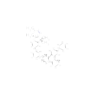 C=C/C=C\C1=C(C)c2ccc(-c3cccc(-c4ncc(-c5cccnc5)c(-c5ccc(-c6ccccc6)cc5)n4)c3)cc2C1(C)C